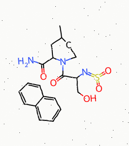 CC1CCN(C(=O)C(CO)N=S(=O)=O)C(C(N)=O)C1.c1ccc2ccccc2c1